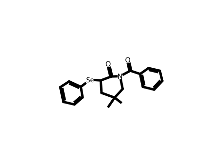 CC1(C)CC([Se]c2ccccc2)C(=O)N(C(=O)c2ccccc2)C1